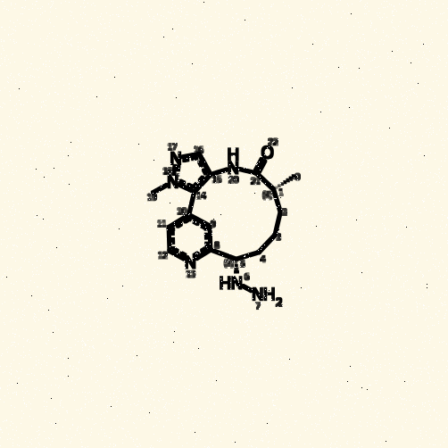 C[C@@H]1CCC[C@H](NN)c2cc(ccn2)-c2c(cnn2C)NC1=O